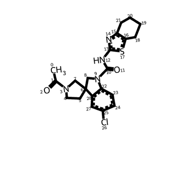 CC(=O)N1CCC2(C1)CN(C(=O)Nc1nc3c(s1)CCCC3)c1ccc(Cl)cc12